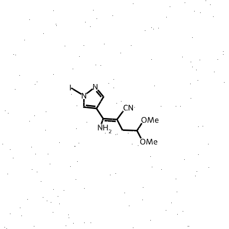 COC(C/C(C#N)=C(\N)c1cnn(I)c1)OC